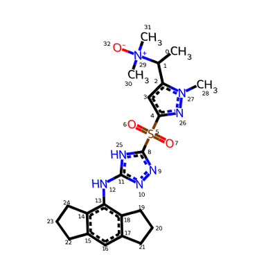 CC(c1cc(S(=O)(=O)c2nnc(Nc3c4c(cc5c3CCC5)CCC4)[nH]2)nn1C)[N+](C)(C)[O-]